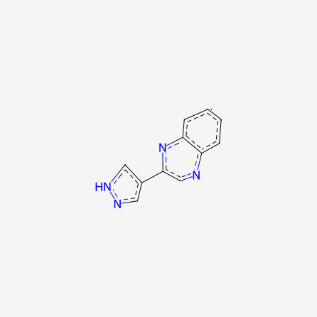 [c]1ccc2ncc(-c3cn[nH]c3)nc2c1